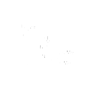 COc1cc2nc(Cc3ccccc3)n(-c3ccc(C(O)(C(F)(F)F)C(F)(F)F)cc3Cl)c(=O)c2cc1OC